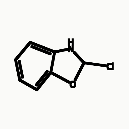 ClC1Nc2ccccc2O1